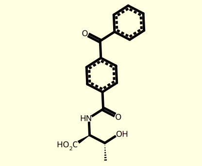 C[C@@H](O)[C@H](NC(=O)c1ccc(C(=O)c2ccccc2)cc1)C(=O)O